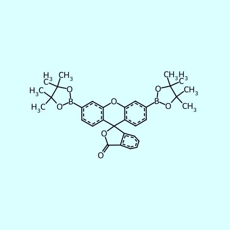 CC1(C)OB(c2ccc3c(c2)Oc2cc(B4OC(C)(C)C(C)(C)O4)ccc2C32OC(=O)c3ccccc32)OC1(C)C